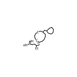 CCCN(CCC)CCC(CC)C[C@@H]1CCCCCCC(CC2CCCCCC2)CCCC1